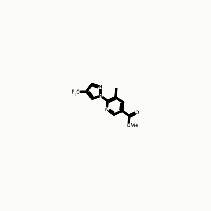 COC(=O)c1cnc(-n2cc(C(F)(F)F)cn2)c(C)c1